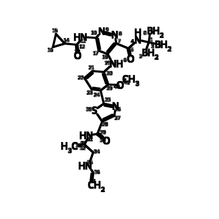 BC(B)(B)NC(=O)c1nnc(NC(=O)C2CC2)cc1Nc1cccc(-c2ncc(C(=O)N[C@H](C)CNC=C)s2)c1OC